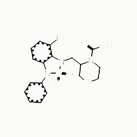 O=C(O)N1CCOCC1CN1c2c(F)cccc2N(c2ccccc2)S1(=O)=O